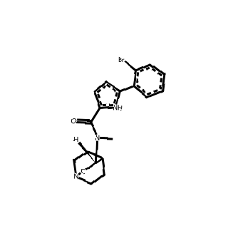 CN(C(=O)c1ccc(-c2ccccc2Br)[nH]1)[C@H]1CN2CCC1CC2